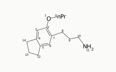 CCCOc1cc2c(cc1CCCN)CCC2